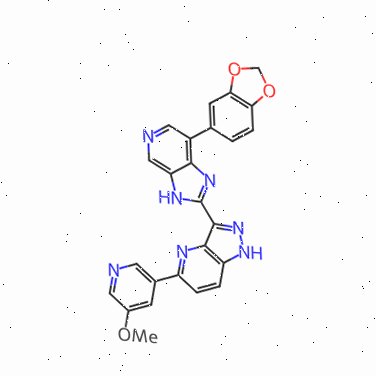 COc1cncc(-c2ccc3[nH]nc(-c4nc5c(-c6ccc7c(c6)OCO7)cncc5[nH]4)c3n2)c1